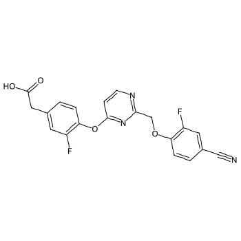 N#Cc1ccc(OCc2nccc(Oc3ccc(CC(=O)O)cc3F)n2)c(F)c1